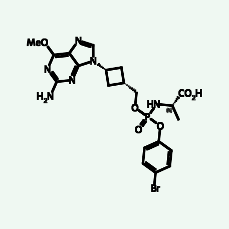 COc1nc(N)nc2c1ncn2[C@H]1C[C@@H](COP(=O)(N[C@@H](C)C(=O)O)Oc2ccc(Br)cc2)C1